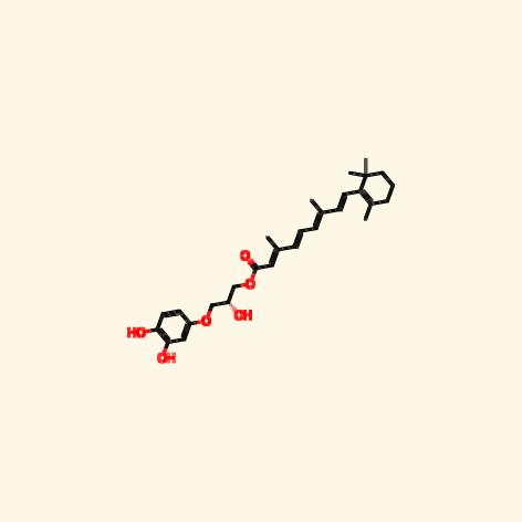 CC1=C(/C=C/C(C)=C/C=C/C(C)=C/C(=O)OC[C@H](O)COc2ccc(O)c(O)c2)C(C)(C)CCC1